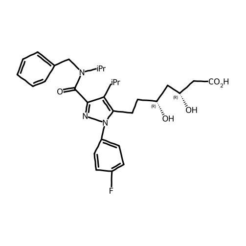 CC(C)c1c(C(=O)N(Cc2ccccc2)C(C)C)nn(-c2ccc(F)cc2)c1CC[C@@H](O)C[C@@H](O)CC(=O)O